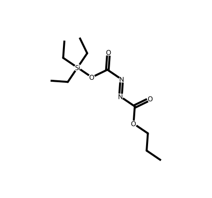 CCCOC(=O)/N=N/C(=O)O[Si](CC)(CC)CC